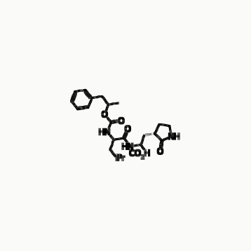 CC(C)CC(NC(=O)OC(C)Cc1ccccc1)C(=O)NC(C[C@@H]1CCNC1=O)C(=O)O